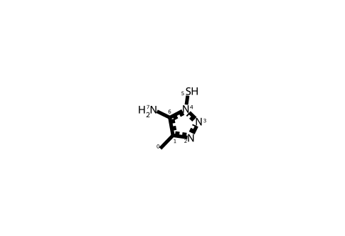 Cc1nnn(S)c1N